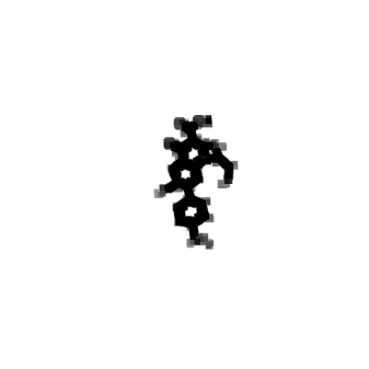 Nc1ccc(-c2cc3c(cc2F)c(=O)c(C(=O)O)c2n3C(CF)S2)cc1